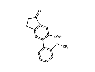 COc1cc2c(cc1-c1ccccc1OC(F)(F)F)CCC2=O